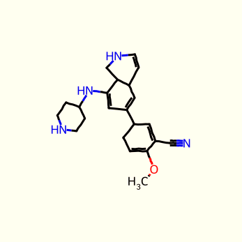 COC1=CCC(C2=CC3C=CNCC3C(NC3CCNCC3)=C2)C=C1C#N